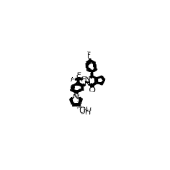 O=c1c2c(c(-c3ccc(F)cc3)nn1-c1cc(N3CC[C@H](O)C3)ccc1C(F)(F)F)CCC2